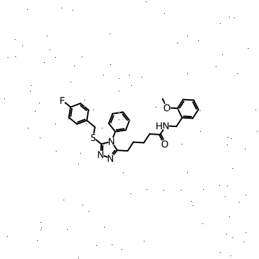 COc1ccccc1CNC(=O)CCCCc1nnc(SCc2ccc(F)cc2)n1-c1ccccc1